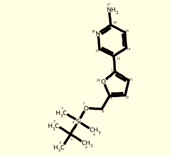 CC(C)(C)[Si](C)(C)OCc1ccc(-c2ccc(N)nc2)o1